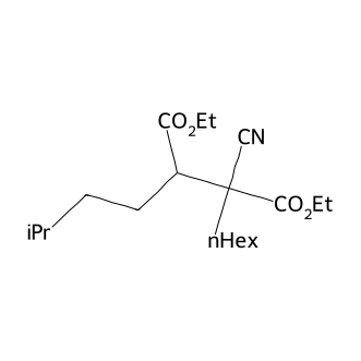 CCCCCCC(C#N)(C(=O)OCC)C(CCC(C)C)C(=O)OCC